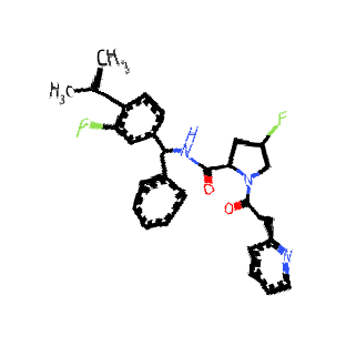 CC(C)c1ccc(C(NC(=O)C2CC(F)CN2C(=O)Cc2ccccn2)c2ccccc2)cc1F